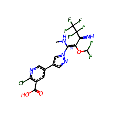 CN/C(=C(/OC(F)F)C(=N)C(F)(F)C(F)(F)F)n1cc(-c2cnc(Cl)c(C(=O)O)c2)cn1